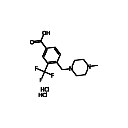 CN1CCN(Cc2ccc(C(=O)O)cc2C(F)(F)F)CC1.Cl.Cl